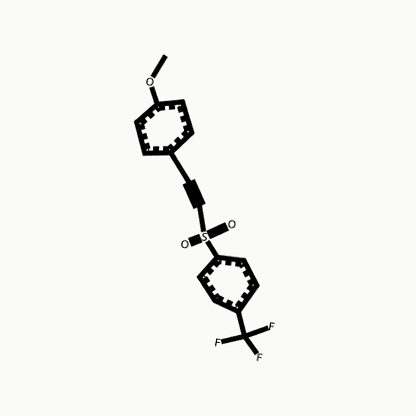 COc1ccc(C#CS(=O)(=O)c2ccc(C(F)(F)F)cc2)cc1